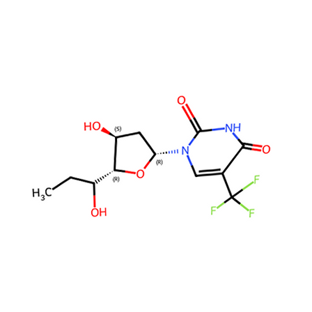 CCC(O)[C@H]1O[C@@H](n2cc(C(F)(F)F)c(=O)[nH]c2=O)C[C@@H]1O